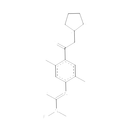 CCN(C)/C(C)=N/c1cc(C)c(C(=O)CC2CCCC2)cc1C